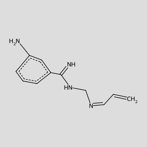 C=C/C=N\CNC(=N)c1cccc(N)c1